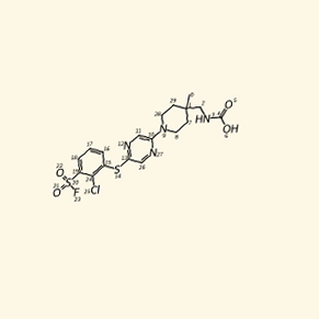 CC1(CNC(=O)O)CCN(c2cnc(Sc3cccc(S(=O)(=O)F)c3Cl)cn2)CC1